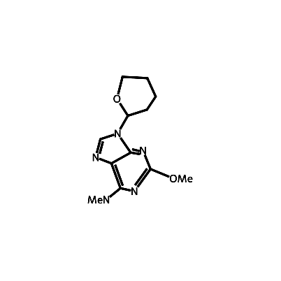 CNc1nc(OC)nc2c1ncn2C1CCCCO1